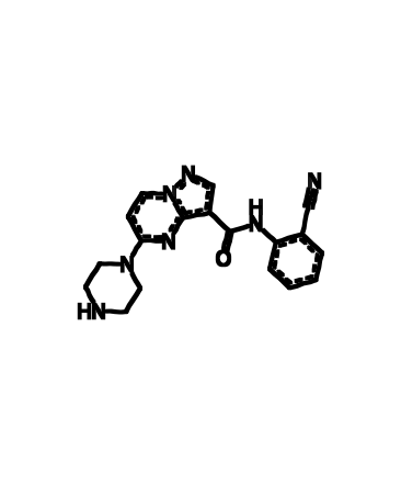 N#Cc1ccccc1NC(=O)c1cnn2ccc(N3CCNCC3)nc12